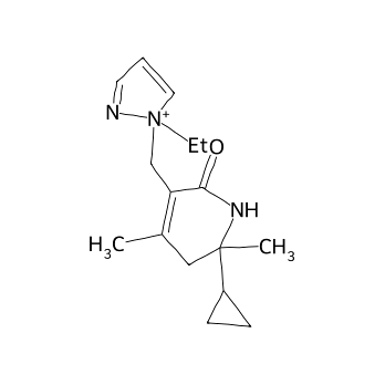 CC[N+]1(CC2=C(C)CC(C)(C3CC3)NC2=O)C=CC=N1